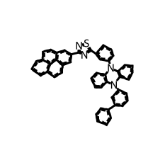 c1ccc(-c2cccc(N3c4ccccc4N(c4cccc(-c5nc(-c6cc7ccc8cccc9ccc(c6)c7c89)ns5)c4)c4ccccc43)c2)cc1